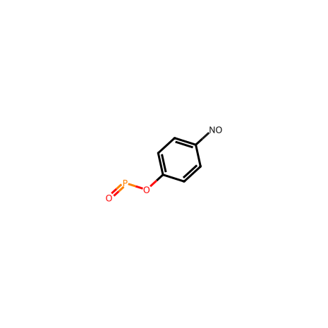 O=Nc1ccc(OP=O)cc1